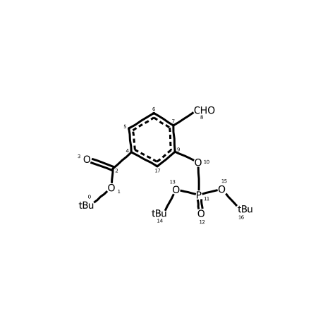 CC(C)(C)OC(=O)c1ccc(C=O)c(OP(=O)(OC(C)(C)C)OC(C)(C)C)c1